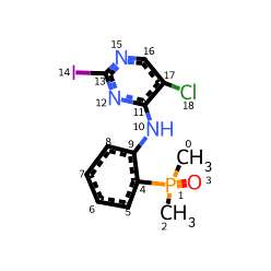 CP(C)(=O)c1ccccc1Nc1nc(I)ncc1Cl